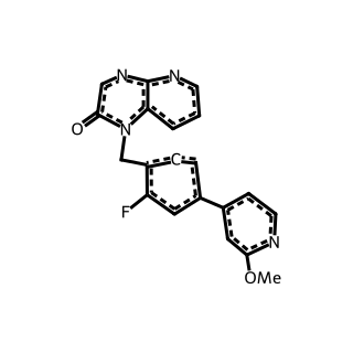 COc1cc(-c2ccc(Cn3c(=O)cnc4ncccc43)c(F)c2)ccn1